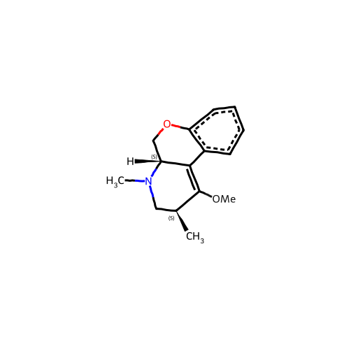 COC1=C2c3ccccc3OC[C@H]2N(C)C[C@@H]1C